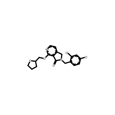 O=C1c2c(ccnc2OCC2CCCO2)CN1Cc1ccc(Cl)cc1Cl